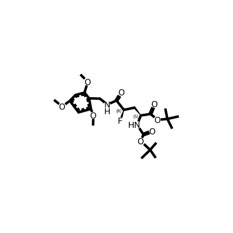 COc1cc(OC)c(CNC(=O)[C@H](F)C[C@H](NC(=O)OC(C)(C)C)C(=O)OC(C)(C)C)c(OC)c1